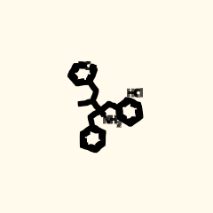 CC(Cc1ccccc1)C(N)(Cc1ccccc1)Cc1ccccc1.Cl